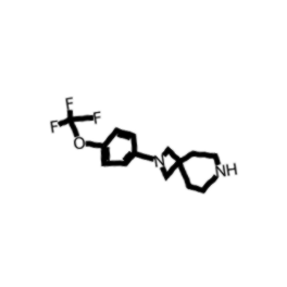 FC(F)(F)Oc1ccc(N2CC3(CCNCC3)C2)cc1